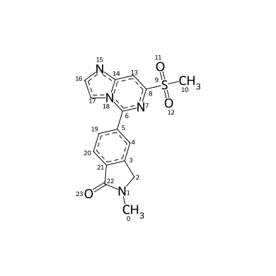 CN1Cc2cc(-c3nc(S(C)(=O)=O)cc4nccn34)ccc2C1=O